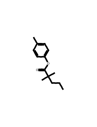 CCCC(C)(C)C(=O)Oc1ccc(C)cc1